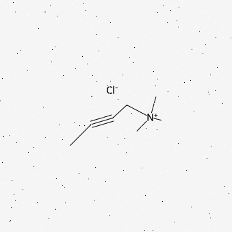 CC#CC[N+](C)(C)C.[Cl-]